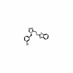 Brc1cccc(C[SH]2C=NN=C2CSc2nc3ccccc3s2)c1